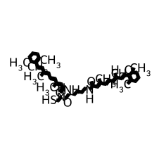 CC1=C(/C=C/C(C)=C/C=C/C(C)=C/C(=O)NCCCC[C@H](NC(=O)/C=C(C)/C=C/C=C(C)/C=C/C2=C(C)CCCC2(C)C)C(=O)NCS)C(C)(C)CCC1